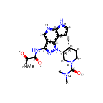 CNC(=O)C(=O)Nc1nn([C@H]2CN(C(=O)N(C)C)CC[C@H]2C)c2c1cnc1[nH]ccc12